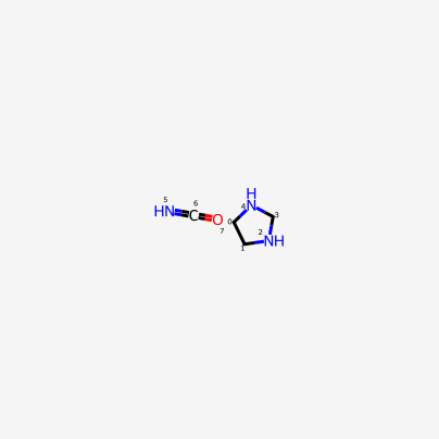 C1CNCN1.N=C=O